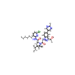 CCCCCCc1ccc(Br)nc1NC(=O)[C@@H]1C[C@@]2(C(C)CC)C[C@H]2N1C(=O)Cn1nc(C(C)=O)c2cc(-c3cnc(C)nc3)ccc21